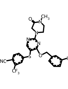 CN1CCN(c2ncc(Sc3ccc(C#N)c(C(F)(F)F)c3)c(OCc3cccc(I)c3)n2)CC1=O